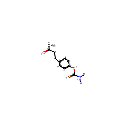 COC(=O)CCc1ccc(OC(=S)N(C)C)cc1